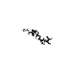 CC(C)C(C)n1cc(CCC(C)(C)n2cc(CSS)nn2)nn1